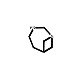 C1CC2CN(CN1)C2